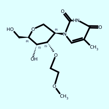 COCCO[C@@H]1[C@H](O)[C@@H](CO)OC[C@H]1n1cc(C)c(=O)[nH]c1=O